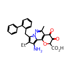 CCc1c(N)c2c3c(c(C)nn2c1Cc1ccccc1-c1ccccc1)C(=O)C(=O)C(C(=O)O)O3